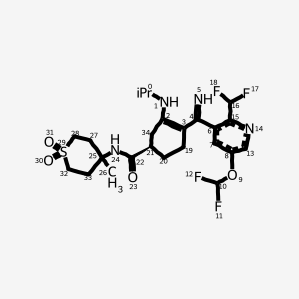 CC(C)NC1=C(C(=N)c2cc(OC(F)F)cnc2C(F)F)CC[C@@H](C(=O)NC2(C)CCS(=O)(=O)CC2)C1